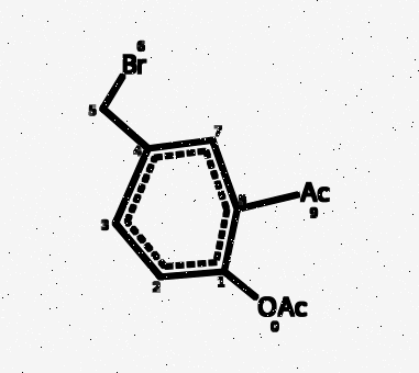 CC(=O)Oc1ccc(CBr)cc1C(C)=O